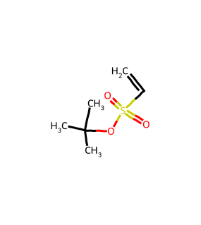 C=CS(=O)(=O)OC(C)(C)C